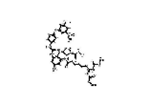 CC(C)(C)OC(=O)N=C(NCCCCC(=O)Nc1cc(C(F)(F)F)cc(NC(=O)Nc2ccc(Oc3cc([N+](=O)O)cc(C(F)(F)F)c3)cc2)c1O[C@@H]1CCN(C(=O)OC(C)(C)C)C1)NC(=O)OC(C)(C)C